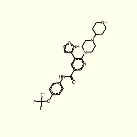 O=C(Nc1ccc(OC(F)(F)Cl)cc1)c1cnc(N2CCN(C3CCNCC3)CC2)c(-c2ccn[nH]2)c1